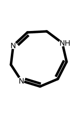 C1=C\NC/C=N\C\N=C/1